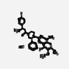 COc1cc2c(N)nc(N3CCN(C(=O)C[C@@H](N)c4ccc(F)cc4)C[C@@H]3c3ccccc3)nc2c(F)c1OC.Cl